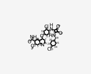 COc1cc2nccc(Oc3ccc(Nc4c(NCc5ccc(Cl)cc5)c(=O)c4=O)c(Cl)c3)c2cc1C(N)=O